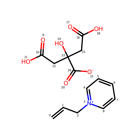 C=CC[n+]1ccccc1.O=C(O)CC(O)(CC(=O)O)C(=O)[O-]